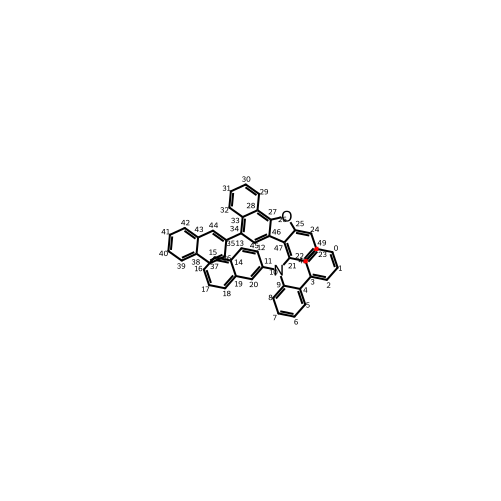 c1ccc(-c2ccccc2N(c2ccc3ccccc3c2)c2cccc3oc4c5ccccc5c(-c5ccc6ccccc6c5)cc4c23)cc1